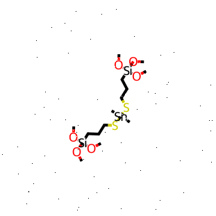 CO[Si](CCC[S][Sn]([CH3])([CH3])[S]CCC[Si](OC)(OC)OC)(OC)OC